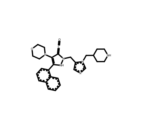 O=C=C1C(N2CCOCC2)=C(c2cccc3ccccc23)NN1Cc1cncn1CC1CCNCC1